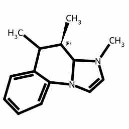 CC1c2ccccc2N2C=CN(C)C2[C@@H]1C